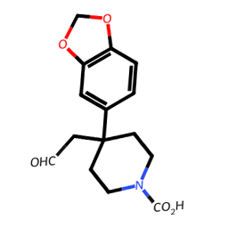 O=CCC1(c2ccc3c(c2)OCO3)CCN(C(=O)O)CC1